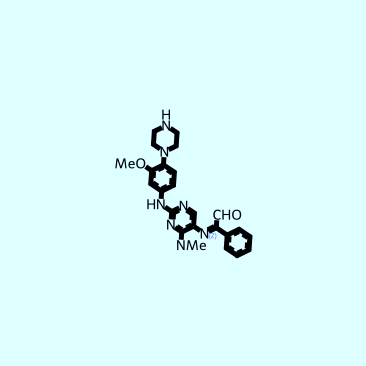 CNc1nc(Nc2ccc(N3CCNCC3)c(OC)c2)ncc1/N=C(\C=O)c1ccccc1